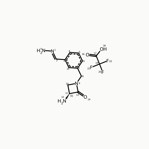 NN=Cc1cccc(CN2C[C@H](N)C2=O)c1.O=C(O)C(F)(F)F